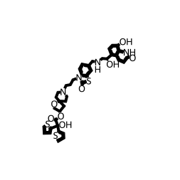 O=C(OC1COC2(CCN(CCCn3c(=O)sc4cc(CNC[C@H](O)c5ccc(O)c6[nH]c(=O)ccc56)ccc43)CC2)C1)C(O)(c1cccs1)c1cccs1